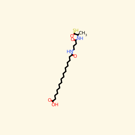 CC(NC(=O)CCCNC(=O)CCCCCCCCCCCCCCCCC(=O)O)C(=O)S